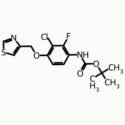 CC(C)(C)OC(=O)Nc1ccc(OCc2cscn2)c(Cl)c1F